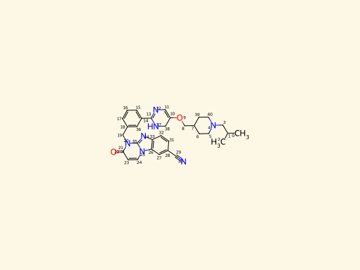 CC(C)CN1CCC(COC2=CN=C(c3cccc(Cn4c(=O)ccn5c6cc(C#N)ccc6nc45)c3)NC2)CC1